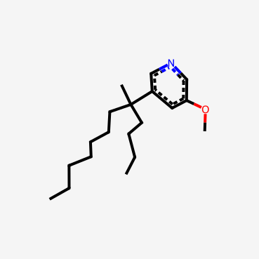 CCCCCCCC(C)(CCCC)c1cncc(OC)c1